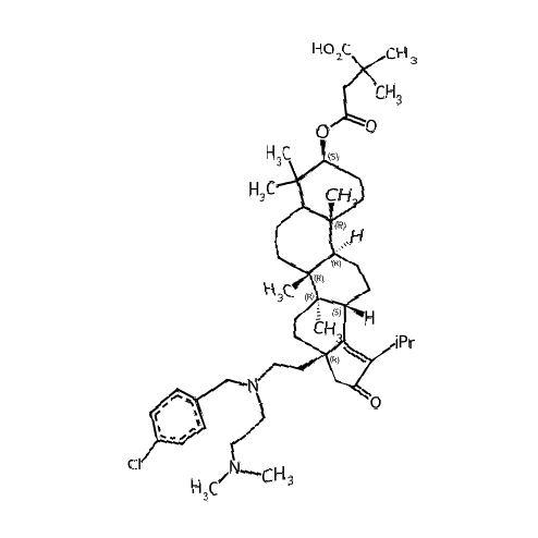 CC(C)C1=C2[C@H]3CC[C@@H]4[C@@]5(C)CC[C@H](OC(=O)CC(C)(C)C(=O)O)C(C)(C)C5CC[C@@]4(C)[C@]3(C)CC[C@@]2(CCN(CCN(C)C)Cc2ccc(Cl)cc2)CC1=O